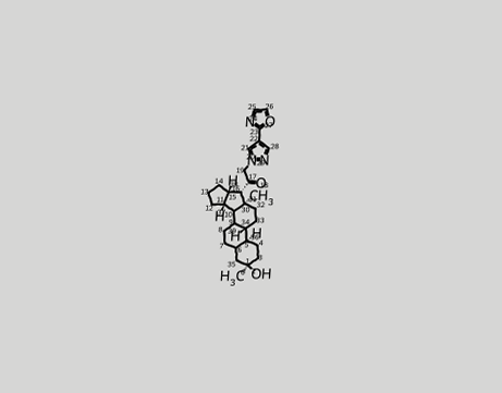 C[C@@]1(O)CC[C@H]2C(CCC3C4[C@@H]5CCC[C@@H]5[C@H](C(=O)Cn5cc(-c6ncco6)cn5)[C@@]4(C)CC[C@@H]32)C1